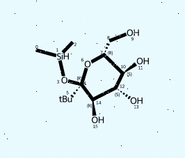 C[SiH](C)O[C@@]1(C(C)(C)C)O[C@H](CO)[C@@H](O)[C@H](O)[C@H]1O